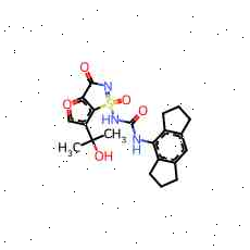 CC(C)(O)c1coc2c1S(=O)(NC(=O)Nc1c3c(cc4c1CCC4)CCC3)=NC2=O